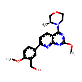 COc1nc(N2CCOC[C@@H]2C)c2ccc(-c3ccc(OC)c(CO)c3)nc2n1